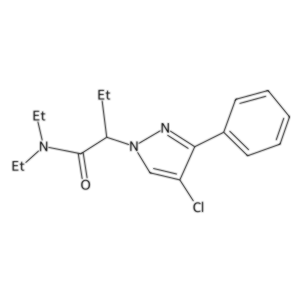 CCC(C(=O)N(CC)CC)n1cc(Cl)c(-c2ccccc2)n1